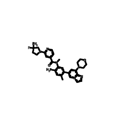 Cc1cc(P)c(N(C)C(=O)c2ccnc(N3CCC(F)(P)C3)c2)cc1-c1cc(N2CCOCC2)c2nccn2c1